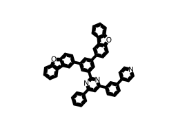 c1ccc(-c2cc(-c3cccc(-c4ccncc4)c3)nc(-c3cc(-c4ccc5oc6ccccc6c5c4)cc(-c4ccc5oc6ccccc6c5c4)c3)n2)cc1